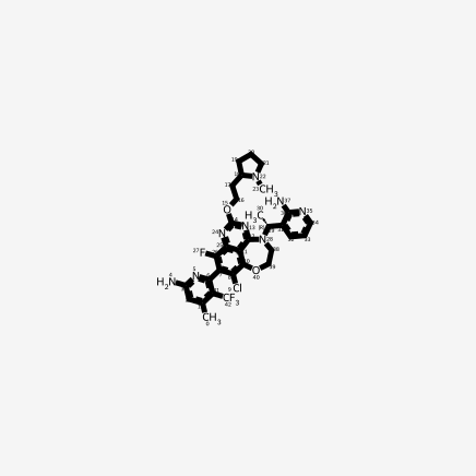 Cc1cc(N)nc(-c2c(Cl)c3c4c(nc(OCCC5CCCN5C)nc4c2F)N([C@H](C)c2cccnc2N)CCO3)c1C(F)(F)F